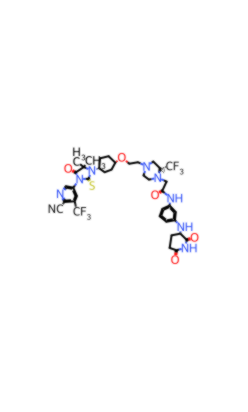 CC1(C)C(=O)N(c2cnc(C#N)c(C(F)(F)F)c2)C(=S)N1[C@H]1CC[C@H](OCCN2CCN(CC(=O)Nc3cccc(NC4CCC(=O)NC4=O)c3)[C@@H](C(F)(F)F)C2)CC1